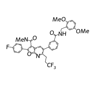 CNC(=O)c1c(-c2ccc(F)cc2)oc2nc(CCC(F)(F)F)c(-c3cccc(C(=O)NCc4cc(OC)ccc4OC)c3)cc12